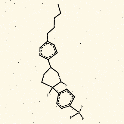 CCCCCc1ccc(C2CCC(F)(c3ccc(S(F)(F)F)cc3)C(F)C2)cc1